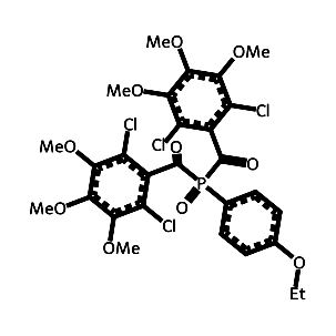 CCOc1ccc(P(=O)(C(=O)c2c(Cl)c(OC)c(OC)c(OC)c2Cl)C(=O)c2c(Cl)c(OC)c(OC)c(OC)c2Cl)cc1